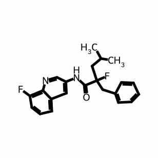 CC(C)CC(F)(Cc1ccccc1)C(=O)Nc1cnc2c(F)cccc2c1